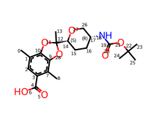 Cc1cc(C(=O)O)c(C)c2c1OC(C)([C@@H]1CC[C@@H](NC(=O)OC(C)(C)C)CO1)O2